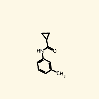 Cc1cccc(NC(=O)C2CC2)c1